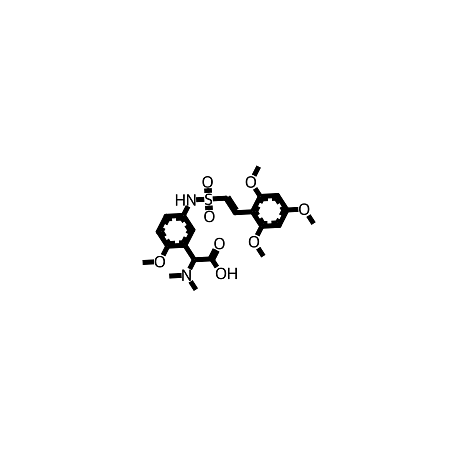 COc1cc(OC)c(C=CS(=O)(=O)Nc2ccc(OC)c(C(C(=O)O)N(C)C)c2)c(OC)c1